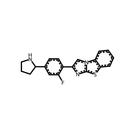 Fc1cc(C2CCCN2)ccc1-c1cn2c(n1)sc1ccccc12